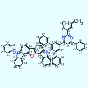 C=C/C=C(\C=C)c1nc(-c2ccccc2)cc(-c2cc(-c3ccccc3)c(-n3c4ccccc4c4c5oc6c(ccc7c6c6ccccc6n7-c6ccccc6)c5ccc43)c(-c3ccccc3)c2)n1